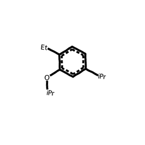 CCc1ccc(C(C)C)cc1OC(C)C